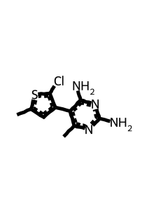 Cc1cc(-c2c(C)nc(N)nc2N)c(Cl)s1